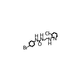 O=C(NCCNc1ncccc1Cl)Nc1ccc(Br)cc1